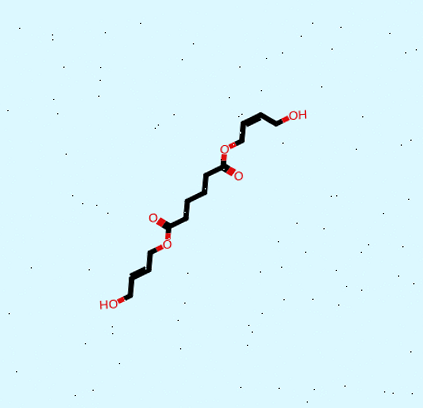 O=C(CCCCC(=O)OC/C=C/CO)OC/C=C\CO